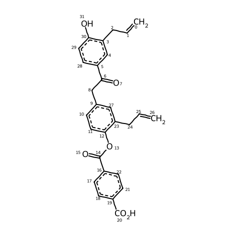 C=CCc1cc(C(=O)Cc2ccc(OC(=O)c3ccc(C(=O)O)cc3)c(CC=C)c2)ccc1O